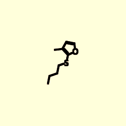 CCCCSc1occc1C